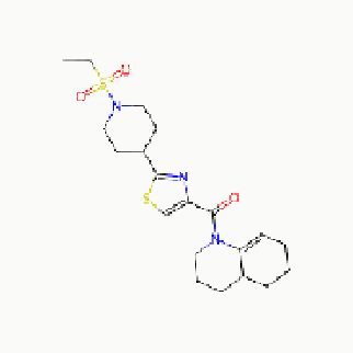 CCS(=O)(=O)N1CCC(c2nc(C(=O)N3CCCC4CCCC=C43)cs2)CC1